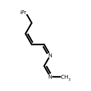 C\N=C/N=C\C=C/CC(C)C